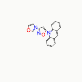 c1ccc2nc3ccccc3cc2c1.c1cnoc1.c1cocn1